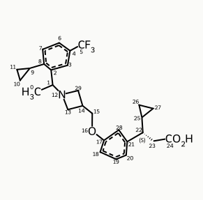 CC(c1cc(C(F)(F)F)ccc1C1CC1)N1CC(COc2cccc([C@@H](CC(=O)O)C3CC3)c2)C1